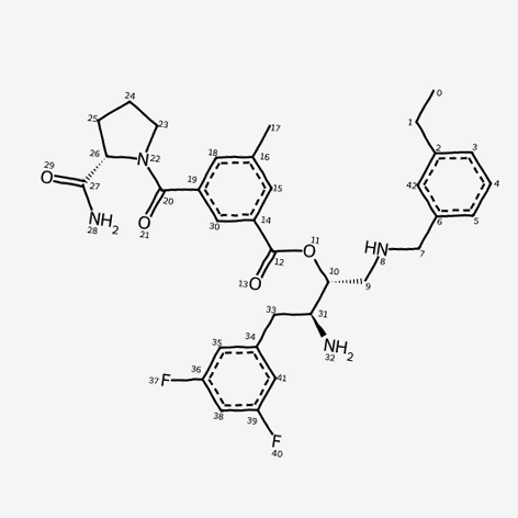 CCc1cccc(CNC[C@@H](OC(=O)c2cc(C)cc(C(=O)N3CCC[C@H]3C(N)=O)c2)[C@@H](N)Cc2cc(F)cc(F)c2)c1